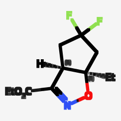 CCOC(=O)C1=NO[C@]2(CC)CC(F)(F)C[C@H]12